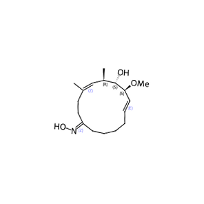 CO[C@H]1/C=C/CCCC/C(=N/O)CC/C(C)=C\[C@@H](C)[C@@H]1O